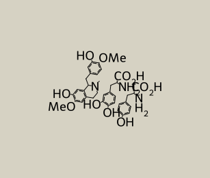 COc1ccc(CC2c3cc(O)c(OC)cc3CCN2C)cc1O.N[C@@H](Cc1ccc(O)c(O)c1)C(=O)O.N[C@@H](Cc1ccc(O)cc1)C(=O)O